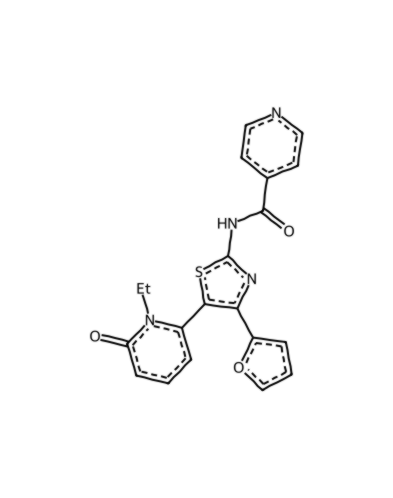 CCn1c(-c2sc(NC(=O)c3ccncc3)nc2-c2ccco2)cccc1=O